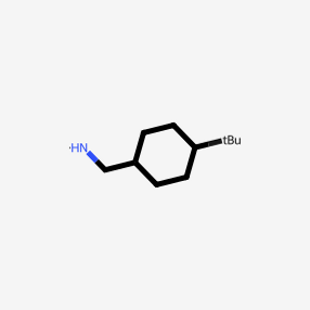 CC(C)(C)C1CCC(C[NH])CC1